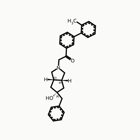 Cc1ccccc1-c1cccc(C(=O)CN2C[C@@H]3C[C@@](O)(Cc4ccccc4)C[C@@H]3C2)c1